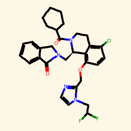 O=C1c2ccccc2CN1C[C@@H]1c2c(OCc3nccn3CC(F)F)ccc(Cl)c2CCN1C(=O)C1CCCCC1